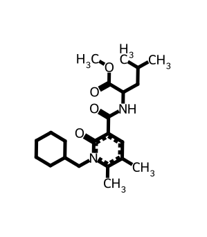 COC(=O)C(CC(C)C)NC(=O)c1cc(C)c(C)n(CC2CCCCC2)c1=O